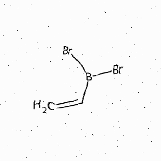 C=CB(Br)Br